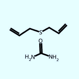 C=CCSCC=C.NC(N)=O